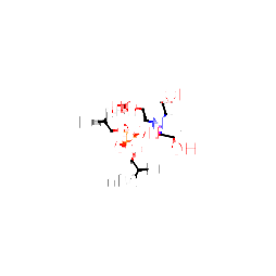 CCCCC(CC)COP(=O)(O)OCC(CC)CCCC.OCCN(CCO)CCO